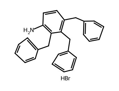 Br.Nc1ccc(Cc2ccccc2)c(Cc2ccccc2)c1Cc1ccccc1